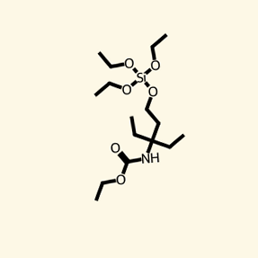 CCOC(=O)NC(CC)(CC)CCO[Si](OCC)(OCC)OCC